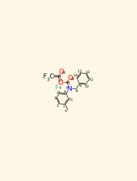 Cc1ccc(F)c(N(Cc2ccccc2)C(=O)OC(=O)C(F)(F)F)c1